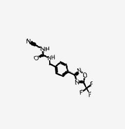 N#CNC(=O)NCc1ccc(-c2noc(C(F)(F)F)n2)cc1